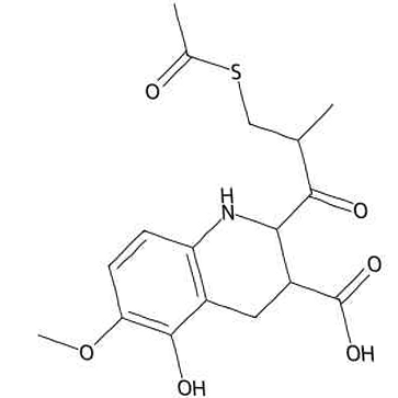 COc1ccc2c(c1O)CC(C(=O)O)C(C(=O)C(C)CSC(C)=O)N2